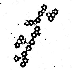 CC1(C)c2ccc(-n3c4ccc(C5=CC6C(C=C5)c5ccccc5N6c5nc6c7c(cccc7n5)Sc5ccccc5-6)cc4c4cc5ccccc5cc43)cc2-c2ccc(-c3ccc4c5ccc(-c6ccc7c(c6)c6ccc8ccccc8c6n7-c6ccccc6)cc5n(-c5nc6c7c(cccc7n5)Sc5ccccc5-6)c4c3)cc21